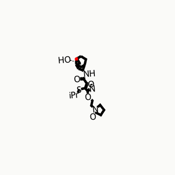 CC(C)Sc1c(OCCN2CCCC2=O)noc1C(=O)NC1C2CC3CC(C2)C1C[C@@H](O)C3